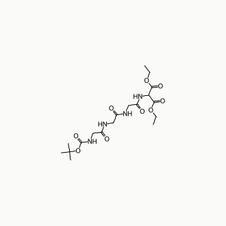 CCOC(=O)C(NC(=O)CNC(=O)CNC(=O)CNC(=O)OC(C)(C)C)C(=O)OCC